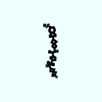 Cc1ccc2sc(C3CC4(CC(NC(=O)c5ccc(S(=O)(=O)NC6CC(F)(P)C6)o5)C4)C3)nc2c1